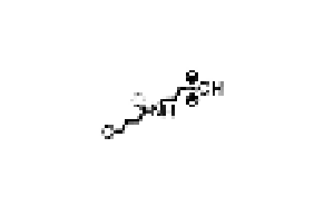 O=CCCC(=O)NCCCS(=O)(=O)O